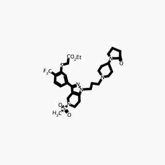 CCOC(=O)CSc1cc(-c2nn(CCCN3CCC(N4CCCC4=O)CC3)c3c2CN(S(C)(=O)=O)CC3)ccc1C(F)(F)F